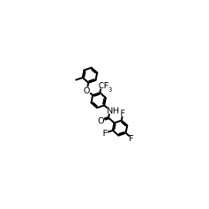 Cc1ccccc1Oc1ccc(NC(=O)c2c(F)cc(F)cc2F)cc1C(F)(F)F